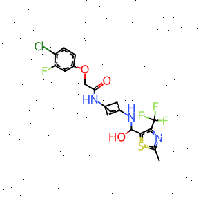 Cc1nc(C(F)(F)F)c(C(O)NC23CC(NC(=O)COc4ccc(Cl)c(F)c4)(C2)C3)s1